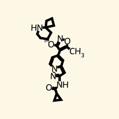 Cc1onc(O[C@@H]2CCNC3(CCC3)C2)c1-c1ccn2nc(NC(=O)C3CC3)cc2c1